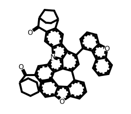 O=C1c2cc3c(cc2C2CCC1CC2)c1c(-c2cccc4oc5ccccc5c24)cc(-c2cccc4oc5ccccc5c24)c2c4cc5c(cc4n3c12)C(=O)C1CCC5CC1